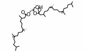 CC(C)CCC[C@@H](C)CCC[C@@H](C)CCCC(C)CC(=O)OC[C@H](CO)OC(=O)CC(C)CCC[C@H](C)CCC[C@H](C)CCCC(C)C